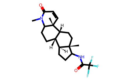 CN1C(=O)C=C[C@@]2(C)C1CC[C@@H]1[C@H]2CC[C@]2(C)C(NC(=O)C(F)(F)F)CC[C@@H]12